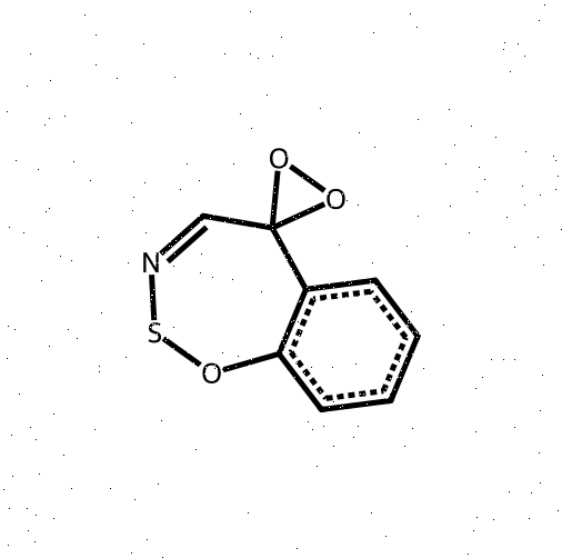 C1=NSOc2ccccc2C12OO2